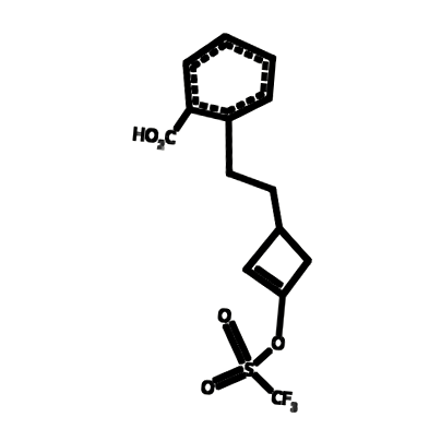 O=C(O)c1ccccc1CCC1C=C(OS(=O)(=O)C(F)(F)F)C1